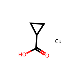 O=C(O)C1CC1.[Cu]